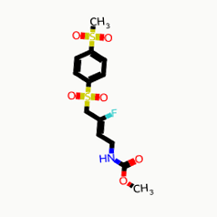 COC(=O)NC/C=C(\F)CS(=O)(=O)c1ccc(S(C)(=O)=O)cc1